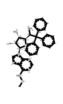 CONc1ncnc2c1ncn2[C@@H]1O[C@H](C(N)C(c2ccccc2)(c2ccccc2)c2ccccc2)[C@@H](O)[C@H]1F